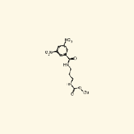 CC(C)(C)OC(=O)NCCCNC(=O)c1cc([N+](=O)[O-])cc([N+](=O)[O-])c1